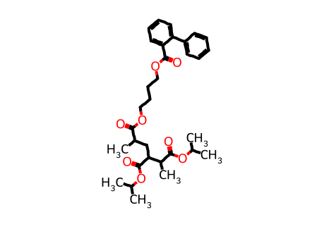 CC(C)OC(=O)C(C)C(CC(C)C(=O)OCCCCOC(=O)c1ccccc1-c1ccccc1)C(=O)OC(C)C